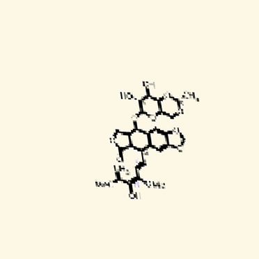 C=C(OC)/C(O)=C(\C=C\[C@@H]1c2cc3c(cc2C(OC2OC4CO[C@@H](C)OC4C(O)[C@H]2O)C2COC(=O)C21)OCO3)OC